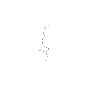 COC1CN(CCCO)C1